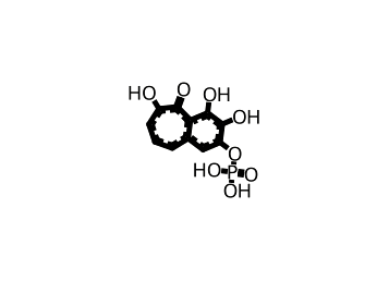 O=c1c(O)cccc2cc(OP(=O)(O)O)c(O)c(O)c12